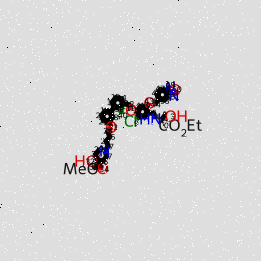 CCOC(=O)[C@@H](CO)NCc1cc(Cl)c(OCc2cccc(-c3cccc(OCCCCN4CCC(O)(C(=O)OC)CC4)c3)c2F)cc1OCc1ccc2nonc2c1